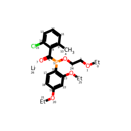 CCOCCOP(C(=O)c1c(C)cccc1Cl)c1ccc(OCC)cc1OCC.[Li]